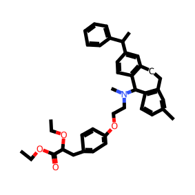 CCOC(=O)C(Cc1ccc(OCCN(C)C2c3ccc(C)cc3CCc3cc(C(C)c4ccccc4)ccc32)cc1)OCC